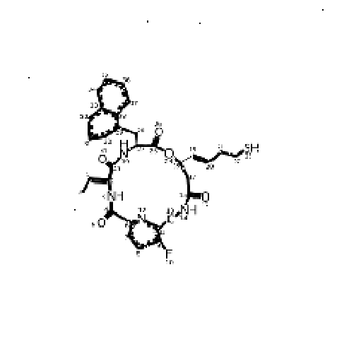 C/C=C1\NC(=O)c2ccc(F)c(n2)CNC(=O)C[C@@H](/C=C/CCS)OC(=O)[C@H](Cc2cccc3ccccc23)NC1=O